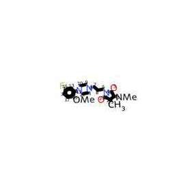 CNC1C(=O)N(CCCN2CCN(c3cc(F)ccc3OC)CC2)C(=O)C1C